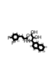 O=C(C=Cc1ccc(F)c(F)c1)N[C@H](c1ccc2ccccc2c1)[C@H](O)CO